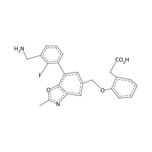 Cc1nc2cc(COc3ccccc3CC(=O)O)cc(-c3cccc(CN)c3F)c2o1